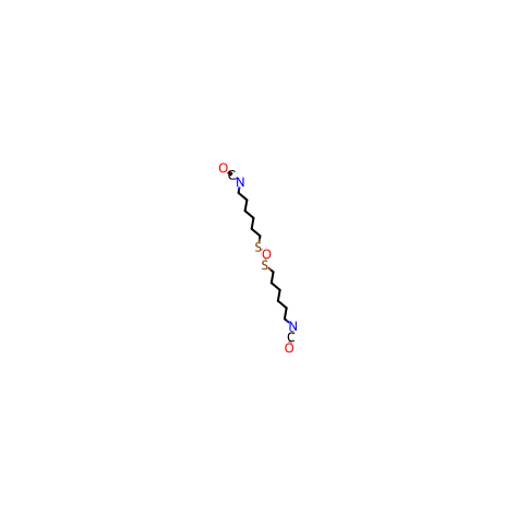 O=C=NCCCCCCSOSCCCCCCN=C=O